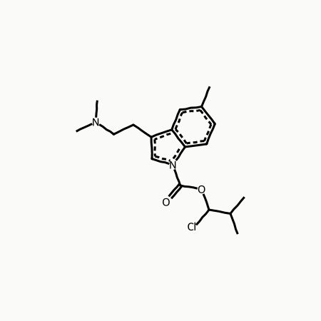 Cc1ccc2c(c1)c(CCN(C)C)cn2C(=O)OC(Cl)C(C)C